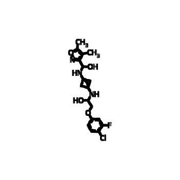 Cc1onc(C(O)NC23CC(NC(O)COc4ccc(Cl)c(F)c4)(C2)C3)c1C